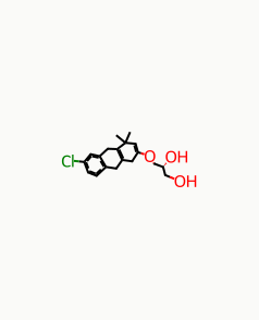 CC1(C)C=C(OC[C@H](O)CO)CC2=C1Cc1cc(Cl)ccc1C2